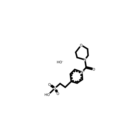 O=C(N1CCOCC1)[n+]1ccc(CCS(=O)(=O)O)cc1.[OH-]